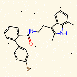 Cc1[nH]c2c(C)cccc2c1CCNC(=O)c1ccccc1-c1ccc(Br)cc1